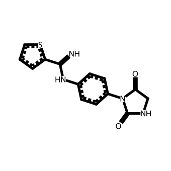 N=C(Nc1ccc(N2C(=O)CNC2=O)cc1)c1cccs1